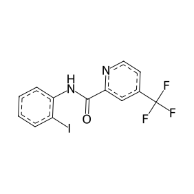 O=C(Nc1ccccc1I)c1cc(C(F)(F)F)ccn1